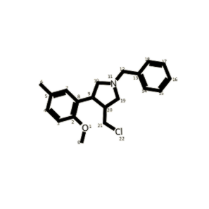 COc1ccc(C)cc1C1CN(Cc2ccccc2)CC1CCl